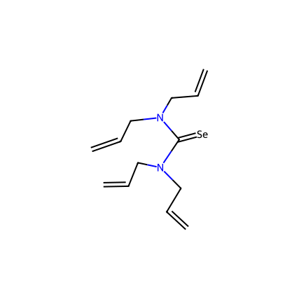 C=CCN(CC=C)C(=[Se])N(CC=C)CC=C